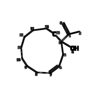 C=C(C)C1(O)CC=CCCCCCCCC1